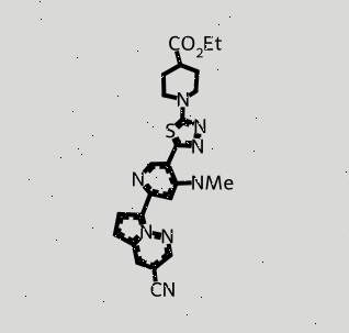 CCOC(=O)C1CCN(c2nnc(-c3cnc(-c4ccc5cc(C#N)cnn45)cc3NC)s2)CC1